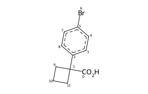 O=C(O)C1(c2ccc(Br)cc2)CCC1